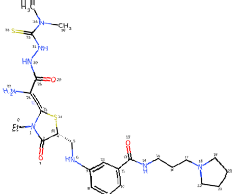 CCN1C(=O)[C@@H](CNc2cccc(C(=O)NCCCN3CCCC3)c2)S/C1=C(/N)C(=O)NNC(=S)N(C)C